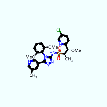 COc1cccc(OC)c1-n1c(NS(=O)(=O)[C@H](C)[C@@H](OC)c2ccc(Cl)cn2)nnc1-c1cncc(C)c1